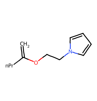 C=C(CCC)OCCn1cccc1